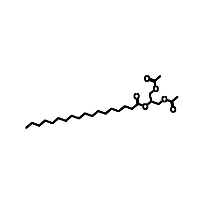 CCCCCCCCCCCCCCCCCC(=O)OC(COC(C)=O)COC(C)=O